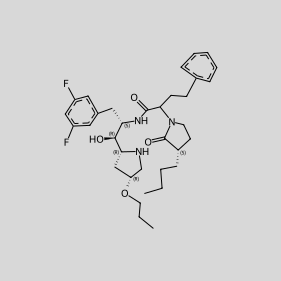 CCCC[C@H]1CCN(C(CCc2ccccc2)C(=O)N[C@@H](Cc2cc(F)cc(F)c2)[C@H](O)[C@H]2C[C@@H](OCCC)CN2)C1=O